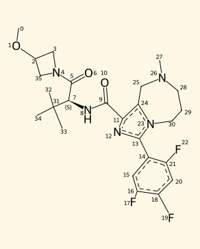 COC1CN(C(=O)[C@@H](NC(=O)c2nc(-c3cc(F)c(F)cc3F)n3c2CN(C)CCC3)C(C)(C)C)C1